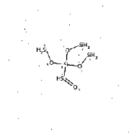 O=[SiH][Si](O[SiH3])(O[SiH3])O[SiH3]